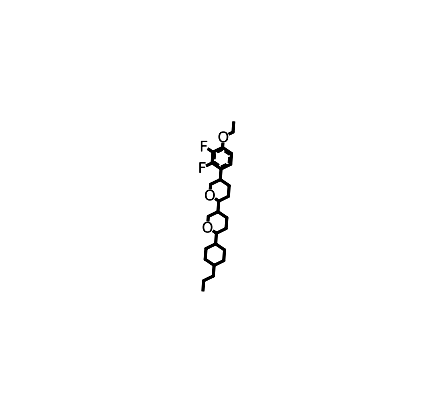 CCCC1CCC(C2CCC(C3CCC(c4ccc(OCC)c(F)c4F)CO3)CO2)CC1